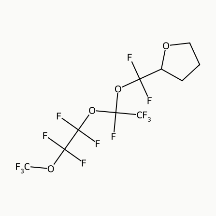 FC(F)(F)OC(F)(F)C(F)(F)OC(F)(OC(F)(F)C1CCCO1)C(F)(F)F